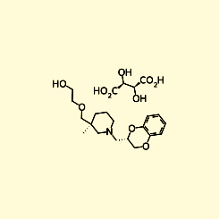 C[C@]1(COCCO)CCCN(C[C@H]2COc3ccccc3O2)C1.O=C(O)[C@@H](O)[C@H](O)C(=O)O